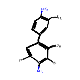 CCc1cc(-c2cc(CC)c(N)c(C(C)(C)C)c2C(C)(C)C)ccc1N